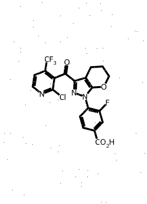 O=C(O)c1ccc(-n2nc(C(=O)c3c(C(F)(F)F)ccnc3Cl)c3c2OCCC3)c(F)c1